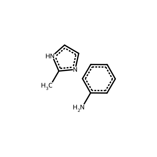 Cc1ncc[nH]1.Nc1ccccc1